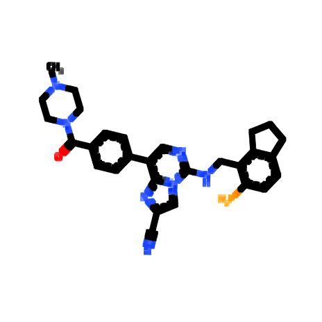 CN1CCN(C(=O)c2ccc(-c3cnc(NCc4c(P)ccc5c4CCC5)n4cc(C#N)nc34)cc2)CC1